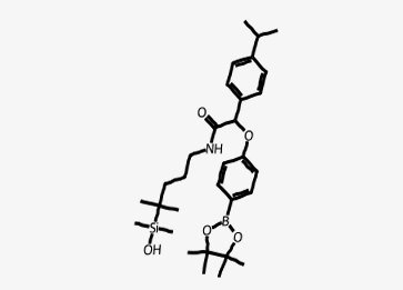 CC(C)c1ccc(C(Oc2ccc(B3OC(C)(C)C(C)(C)O3)cc2)C(=O)NCCCC(C)(C)[Si](C)(C)O)cc1